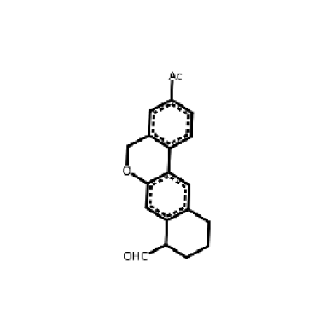 CC(=O)c1ccc2c(c1)COc1cc3c(cc1-2)CCCC3C=O